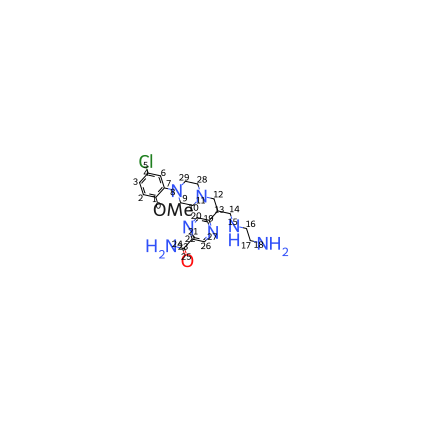 COc1ccc(Cl)cc1N1CCN(CC(CNCCN)c2cnc(C(N)=O)cn2)CC1